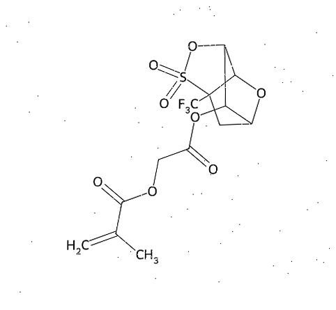 C=C(C)C(=O)OCC(=O)OC1C2CC3(C(F)(F)F)C(O2)C1OS3(=O)=O